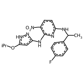 CC(C)Oc1cc(Nc2nc(NC(C)c3ccc(F)cc3)ccc2[N+](=O)[O-])n[nH]1